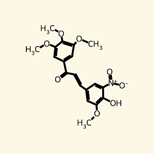 COc1cc(C=CC(=O)c2cc(OC)c(OC)c(OC)c2)cc([N+](=O)[O-])c1O